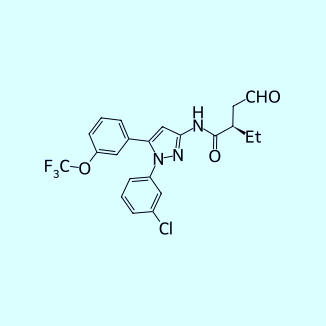 CC[C@H](CC=O)C(=O)Nc1cc(-c2cccc(OC(F)(F)F)c2)n(-c2cccc(Cl)c2)n1